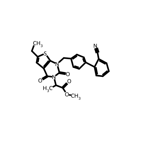 CCc1cc2c(=O)n(C(C)C(=O)OC)c(=O)n(Cc3ccc(-c4ccccc4C#N)cc3)c2s1